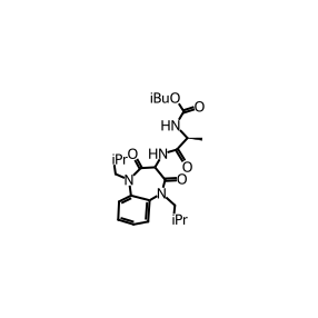 CC(C)COC(=O)N[C@@H](C)C(=O)NC1C(=O)N(CC(C)C)c2ccccc2N(CC(C)C)C1=O